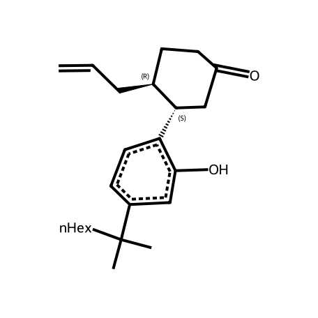 C=CC[C@H]1CCC(=O)C[C@@H]1c1ccc(C(C)(C)CCCCCC)cc1O